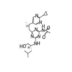 CC(C)C[C@H](CO)Nc1nc(C[C@H](C)c2cnc(C3CC3)nc2)nc(NS(C)(=O)=O)n1